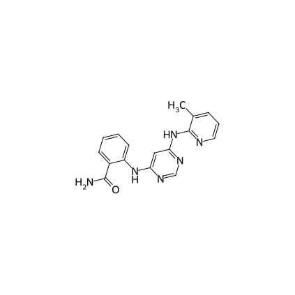 Cc1cccnc1Nc1cc(Nc2ccccc2C(N)=O)ncn1